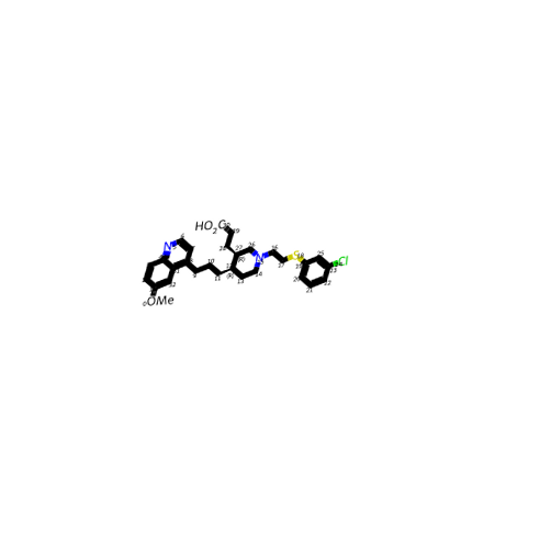 COc1ccc2nccc(CCC[C@@H]3CCN(CCSc4cccc(Cl)c4)C[C@@H]3CCC(=O)O)c2c1